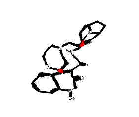 CC(C)n1c(=O)c(C(=O)NC2CC3CCC(C2)N3CCN2CCOCC2)cc2ccccc21